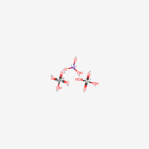 [O-][I+2]([O-])O.[O]=[Cr](=[O])([OH])[OH].[O]=[Mn](=[O])(=[O])[OH]